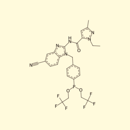 CCn1nc(C)cc1C(=O)Nc1nc2cc(C#N)ccc2n1Cc1ccc(P(OCC(F)(F)F)OCC(F)(F)F)cc1